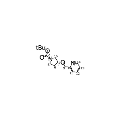 CC(C)(C)OC(=O)N1CC[C@H](OCc2ccccn2)C1